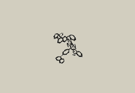 c1ccc2c(-c3ccc(-c4nc(-n5c6ccccc6c6cc7c(ccc8c9ccccc9oc78)cc65)nc5c4sc4ccccc45)cc3)cccc2c1